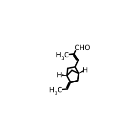 C/C=C1/C[C@@H]2C[C@H]1CC2/C=C(\C)C=O